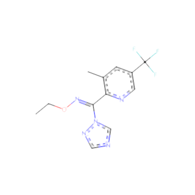 CCON=C(c1ncc(C(F)(F)F)cc1C)n1cncn1